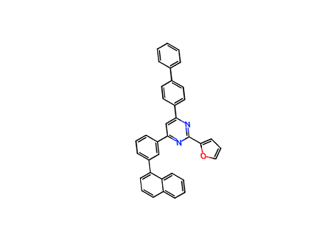 c1ccc(-c2ccc(-c3cc(-c4cccc(-c5cccc6ccccc56)c4)nc(-c4ccco4)n3)cc2)cc1